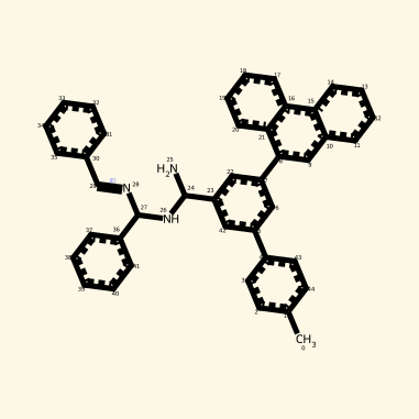 Cc1ccc(-c2cc(-c3cc4ccccc4c4ccccc34)cc(C(N)NC(/N=C/c3ccccc3)c3ccccc3)c2)cc1